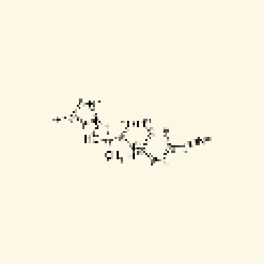 CC(O)(Cn1cc(F)cn1)C(=O)Nc1ccc(C#N)cc1Cl